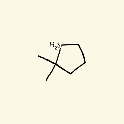 CC1(C)CCC[SiH2]1